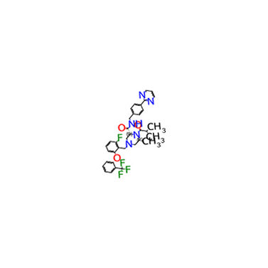 CC(C)C(=O)N1[C@H](C)CN(Cc2c(F)cccc2Oc2ccccc2C(F)(F)F)C[C@@H]1C(=O)NCc1ccc(-c2ncccn2)cc1